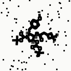 COc1ccc(C[C@@H]2[C@H](OC(=O)CC3CC(F)(F)C3)[C@@H](OC(=O)OC(C)(C)C)CN2C(=O)OC(C)(C)C)cc1